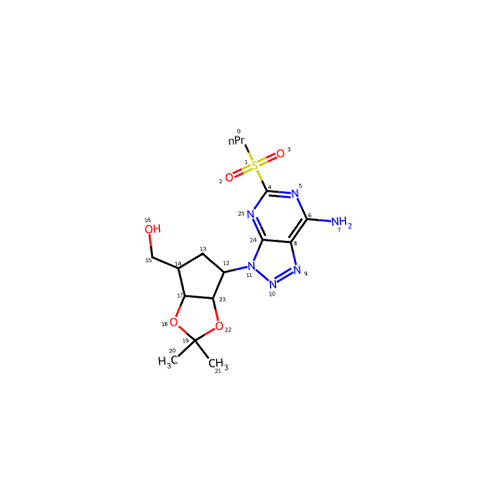 CCCS(=O)(=O)c1nc(N)c2nnn(C3CC(CO)C4OC(C)(C)OC43)c2n1